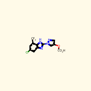 O=C(O)Oc1cnn(-c2nc3cc(Cl)cc(C(F)(F)F)c3[nH]2)c1